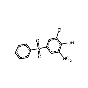 O=[N+]([O-])c1cc(S(=O)(=O)c2ccccc2)cc(Cl)c1O